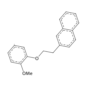 COc1cc[c]cc1OCCc1ccc2ccccc2c1